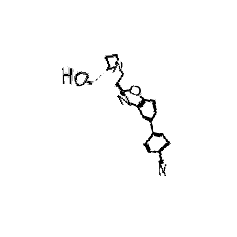 N#Cc1ccc(-c2ccc3oc(CCN4CC[C@H]4CO)nc3c2)cc1